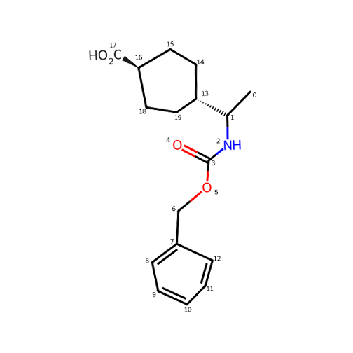 CC(NC(=O)OCc1ccccc1)[C@H]1CC[C@H](C(=O)O)CC1